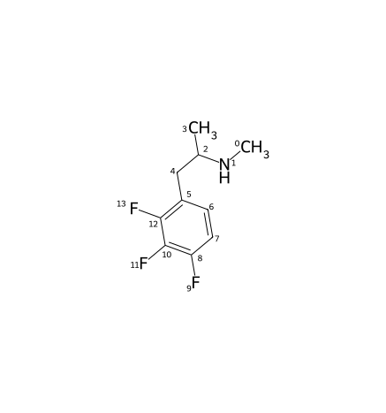 CNC(C)Cc1ccc(F)c(F)c1F